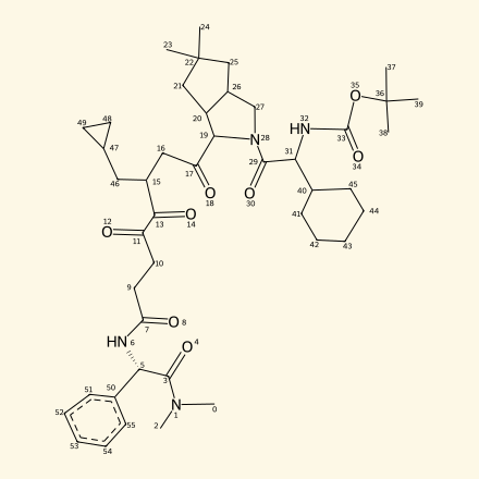 CN(C)C(=O)[C@@H](NC(=O)CCC(=O)C(=O)C(CC(=O)C1C2CC(C)(C)CC2CN1C(=O)C(NC(=O)OC(C)(C)C)C1CCCCC1)CC1CC1)c1ccccc1